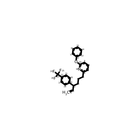 C=CC(CCCc1cccc(Oc2ccccc2)n1)c1ccc(C(F)(F)F)cc1